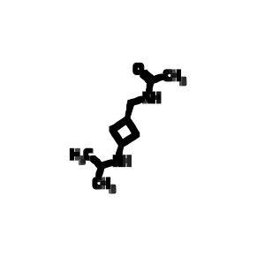 CC(=O)NC[C@H]1C[C@@H](NC(C)C)C1